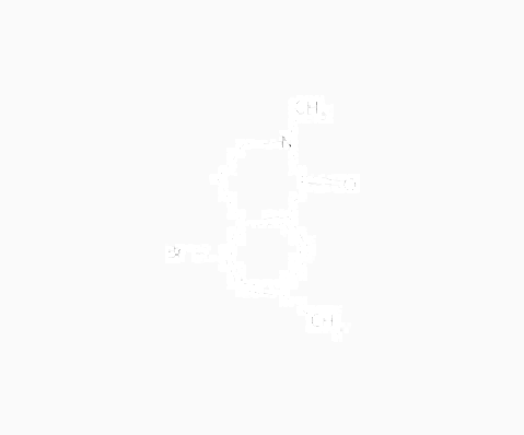 Cc1cc(Br)c2c(c1)C(=O)N(C)CC2